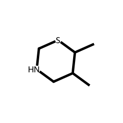 CC1CNCSC1C